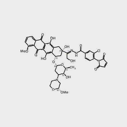 COc1cccc2c1C(=O)c1c(O)c3c(c(O)c1C2=O)C[C@@](O)(/C(CO)=N/NC(=O)c1ccc(N2C(=O)C=CC2=O)c(Cl)c1)C[C@@H]3O[C@H]1CC(N2CCO[C@@H](OC)C2)[C@H](O)[C@H](C)O1